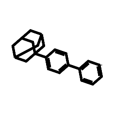 [c]1cccc(-c2ccc(C34CC5CC(CC(C5)C3)C4)cc2)c1